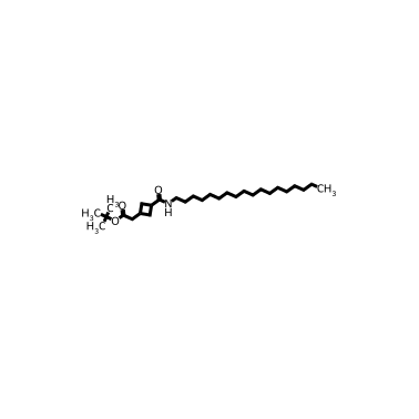 CCCCCCCCCCCCCCCCCCNC(=O)C1CC(CC(=O)OC(C)(C)C)C1